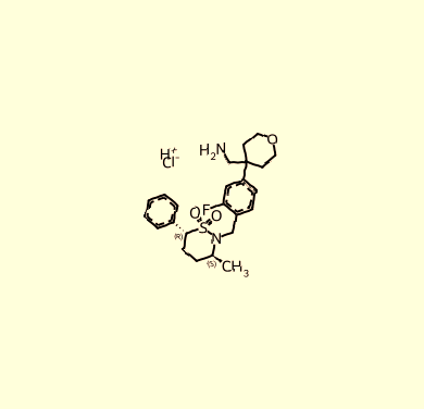 C[C@H]1CC[C@H](c2ccccc2)S(=O)(=O)N1Cc1ccc(C2(CN)CCOCC2)cc1F.[Cl-].[H+]